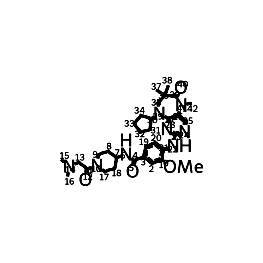 COc1cc(C(=O)NC2CCN(C(=O)CN(C)C)CC2)ccc1Nc1ncc2c(n1)N(C1CCCC1)CC(C)(C)C(=O)N2C